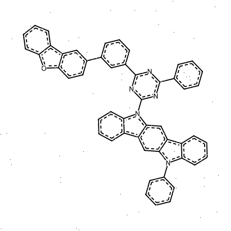 c1ccc(-c2nc(-c3cccc(-c4ccc5oc6ccccc6c5c4)c3)nc(-n3c4ccccc4c4cc5c(cc43)c3ccccc3n5-c3ccccc3)n2)cc1